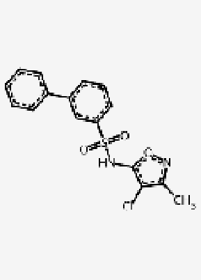 Cc1noc(NS(=O)(=O)c2cccc(-c3ccccc3)c2)c1Cl